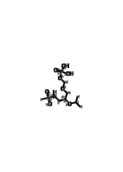 CC(C)O[C@@H](CNS(C)(=O)=O)COCOP(=O)(O)O